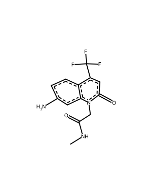 CNC(=O)Cn1c(=O)cc(C(F)(F)F)c2ccc(N)cc21